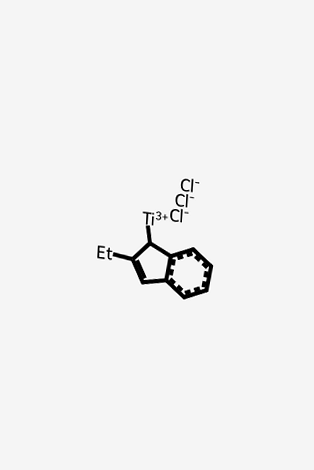 CCC1=Cc2ccccc2[CH]1[Ti+3].[Cl-].[Cl-].[Cl-]